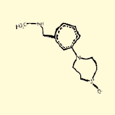 O=C(O)NCc1cccc(N2CC[S+]([O-])CC2)c1